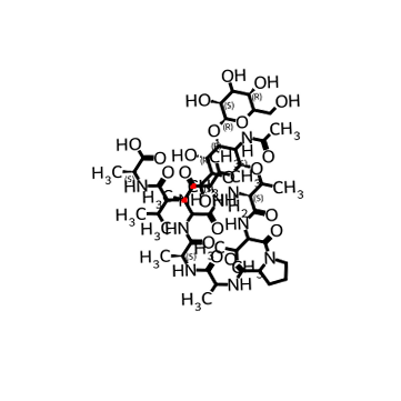 CC(=O)NC1[C@@H](OC(C)[C@H](N)C(=O)NC(C(=O)N2CCCC2C(=O)NC(C)C(=O)N[C@@H](C)C(=O)NC(C(=O)N[C@H](C(=O)NC(C(=O)N[C@@H](C)C(=O)O)C(C)C)C(C)C)C(C)C)C(C)C)OC(CO)[C@H](O)[C@@H]1O[C@@H]1OC(CO)[C@H](O)C(O)[C@@H]1O